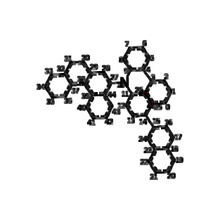 c1ccc(-c2ccccc2N(c2ccc(-c3ccc4ccccc4c3)cc2)c2cc3ccc4ccccc4c3c3ccccc23)cc1